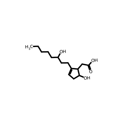 CCCCCC(O)CCC1=CCC(O)C1CC(=O)O